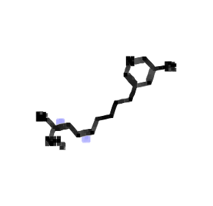 CC/C(N)=C/C=C\CCCCc1cncc(CC)c1